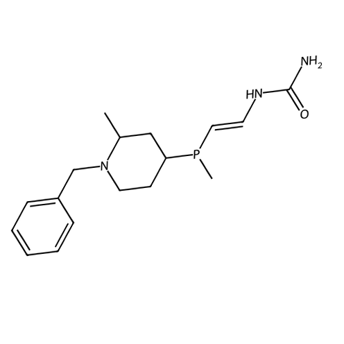 CC1CC(P(C)/C=C/NC(N)=O)CCN1Cc1ccccc1